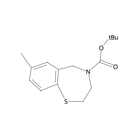 Cc1ccc2c(c1)CN(C(=O)OC(C)(C)C)CCS2